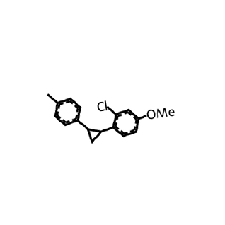 COc1ccc(C2CC2c2ccc(C)cc2)c(Cl)c1